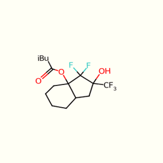 CCC(C)C(=O)OC12CCCCC1CC(O)(C(F)(F)F)C2(F)F